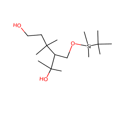 CC(C)(O)C(CO[Si](C)(C)C(C)(C)C)C(C)(C)CCO